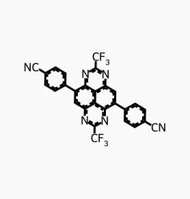 N#Cc1ccc(-c2cc3nc(C(F)(F)F)nc4c(-c5ccc(C#N)cc5)cc5nc(C(F)(F)F)nc2c5c34)cc1